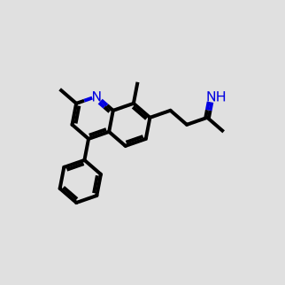 CC(=N)CCc1ccc2c(-c3ccccc3)cc(C)nc2c1C